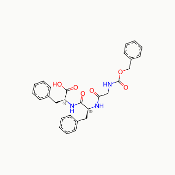 O=C(CNC(=O)OCc1ccccc1)N[C@@H](Cc1ccccc1)C(=O)N[C@@H](Cc1ccccc1)C(=O)O